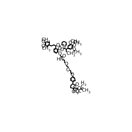 CCC(C(=O)N1CCCC[C@H]1C(=O)OC(CCc1ccc(OC)c(OC)c1)c1cccc(OCC(=O)NCCOCCOCCOc2ccc(C3CCC(=O)N(C(=O)OC(C)(C)C)C3=O)cc2)c1)c1cc(OC)c(OC)c(OC)c1